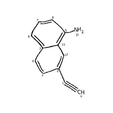 C#Cc1ccc2cccc(N)c2c1